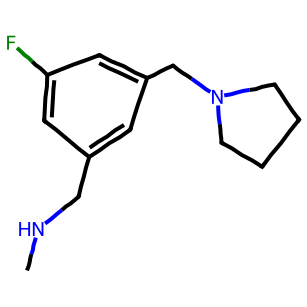 CNCc1cc(F)cc(CN2CCCC2)c1